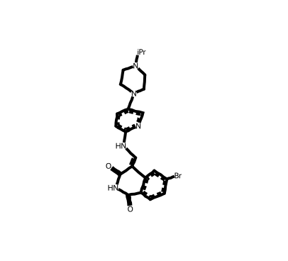 CC(C)N1CCN(c2ccc(NC=C3C(=O)NC(=O)c4ccc(Br)cc43)nc2)CC1